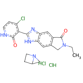 C1CN2CC12.CCN1Cc2cc3[nH]c(-c4c(Cl)cc[nH]c4=O)nc3cc2C1=O.Cl.Cl